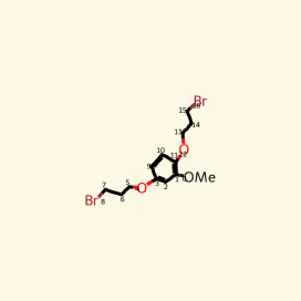 COc1cc(OCCCBr)ccc1OCCCBr